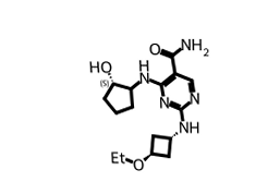 CCO[C@H]1C[C@H](Nc2ncc(C(N)=O)c(NC3CCC[C@@H]3O)n2)C1